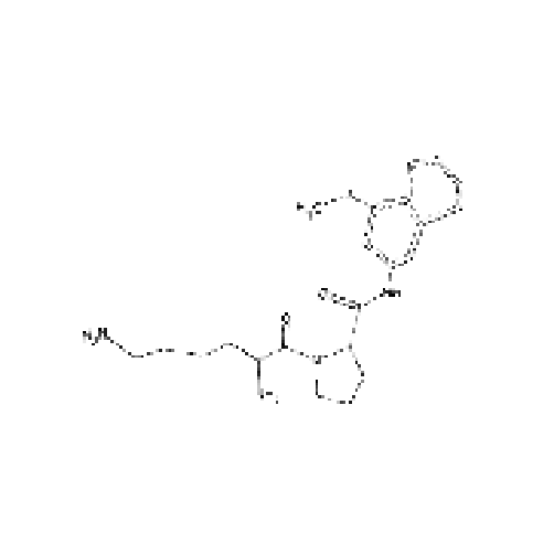 COc1cc(NC(=O)C2CCCN2C(=O)C(N)CCCCN)cc2ccccc12